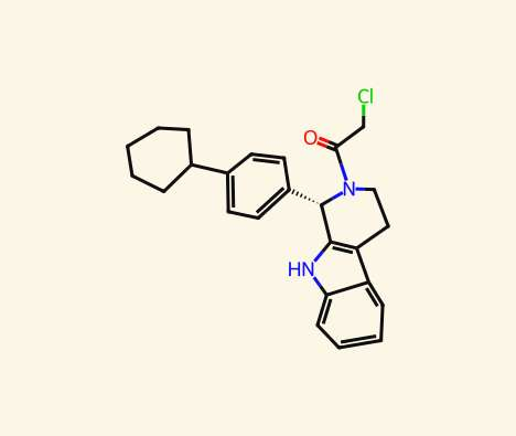 O=C(CCl)N1CCc2c([nH]c3ccccc23)[C@@H]1c1ccc(C2CCCCC2)cc1